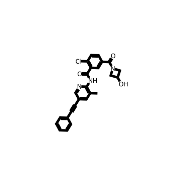 Cc1cc(C#Cc2ccccc2)cnc1NC(=O)c1cc(C(=O)N2CC(O)C2)ccc1Cl